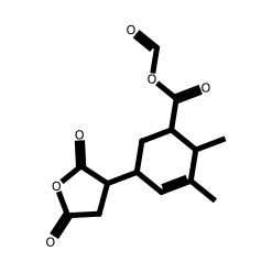 CC1=CC(C2CC(=O)OC2=O)CC(C(=O)OC=O)C1C